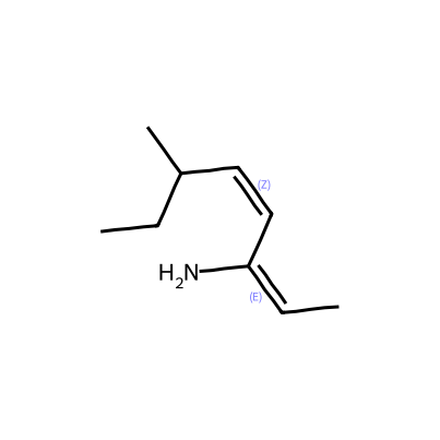 C/C=C(N)\C=C/C(C)CC